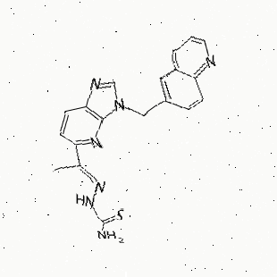 CC(=NNC(N)=S)c1ccc2ncn(Cc3ccc4ncccc4c3)c2n1